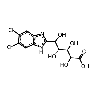 O=C(O)C(O)[C@H](O)[C@H](O)C(O)c1nc2cc(Cl)c(Cl)cc2[nH]1